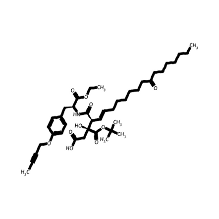 CC#CCOc1ccc(C[C@H](NC(=O)[C@@H](/C=C/CCCCCCC(=O)CCCCCCC)[C@@](O)(CC(=O)O)C(=O)OC(C)(C)C)C(=O)OCC)cc1